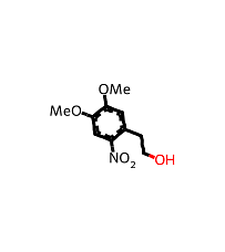 COc1cc(CCO)c([N+](=O)[O-])cc1OC